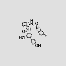 Cl.O=C(NC12CC3CC(CC(NCC(=O)N4Cc5ccc(F)cc5C4)(C3)C1)C2)c1ccc(-c2ccc(O)cc2)cc1